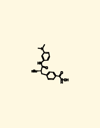 CCCCC(Cc1ccc(C(=O)NO)cc1)C(=O)Nc1cccc(N(C)C)c1